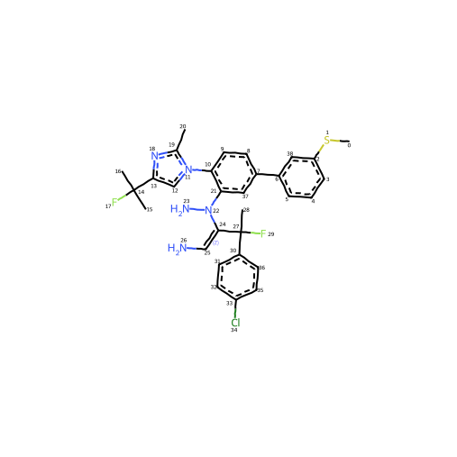 CSc1cccc(-c2ccc(-n3cc(C(C)(C)F)nc3C)c(N(N)/C(=C\N)C(C)(F)c3ccc(Cl)cc3)c2)c1